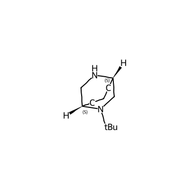 CC(C)(C)N1C[C@@H]2CCC[C@H]1CN2